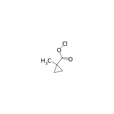 CC1(C(=O)OCl)CC1